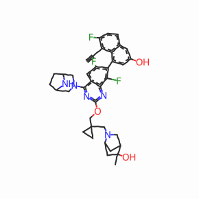 C#Cc1c(F)ccc2cc(O)cc(-c3c(F)cc4c(N5CC6CCC(C5)N6)nc(OCC5(CN6CC7CC6CC7(C)O)CC5)nc4c3F)c12